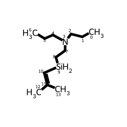 CCCN(CCC)CC[SiH2]C=C(C)C